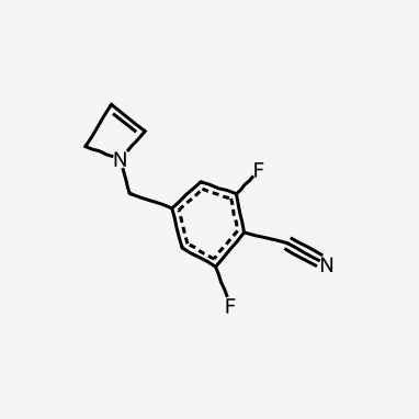 N#Cc1c(F)cc(CN2C=CC2)cc1F